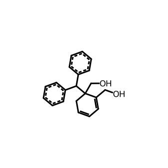 OCC1=CC=CCC1(CO)C(c1ccccc1)c1ccccc1